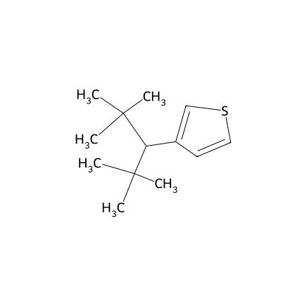 CC(C)(C)C(c1ccsc1)C(C)(C)C